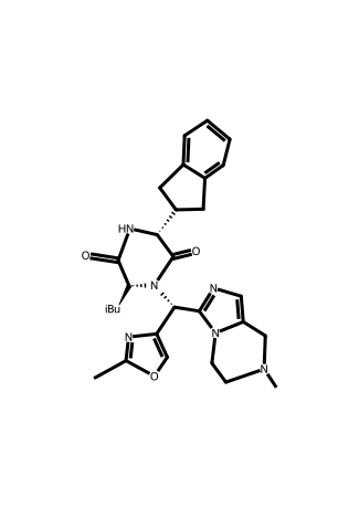 CC[C@H](C)[C@@H]1C(=O)N[C@H](C2Cc3ccccc3C2)C(=O)N1[C@@H](c1coc(C)n1)c1ncc2n1CCN(C)C2